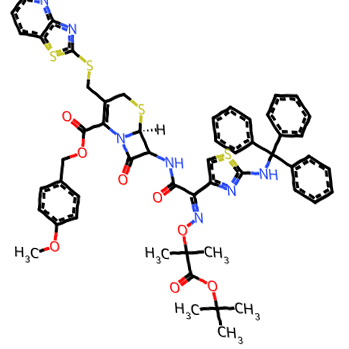 COc1ccc(COC(=O)C2=C(CSc3nc4ncccc4s3)CS[C@H]3C(NC(=O)/C(=N\OC(C)(C)C(=O)OC(C)(C)C)c4csc(NC(c5ccccc5)(c5ccccc5)c5ccccc5)n4)C(=O)N23)cc1